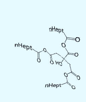 CCCCCCCC(=O)OC(=O)CC(O)(CC(=O)OC(=O)CCCCCCC)C(=O)OC(=O)CCCCCCC